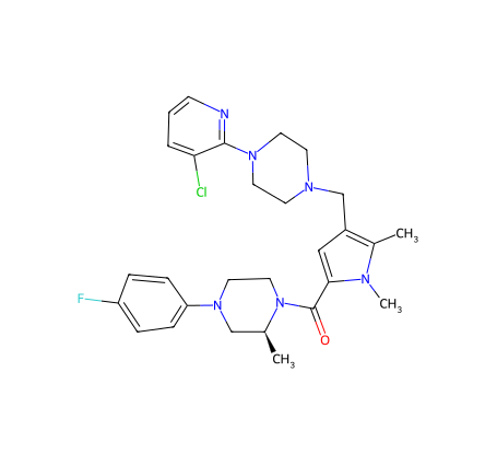 Cc1c(CN2CCN(c3ncccc3Cl)CC2)cc(C(=O)N2CCN(c3ccc(F)cc3)C[C@@H]2C)n1C